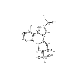 Cc1ncccc1-n1nc(C(F)F)cc1-c1ccc(S(C)(=O)=O)c(F)c1